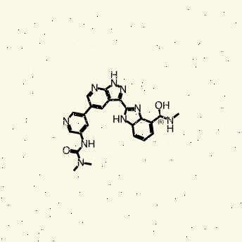 CN[C@H](O)C1=CC=CC2NC(c3n[nH]c4ncc(-c5cncc(NC(=O)N(C)C)c5)cc34)=NC12